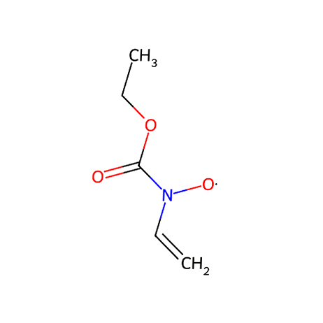 C=CN([O])C(=O)OCC